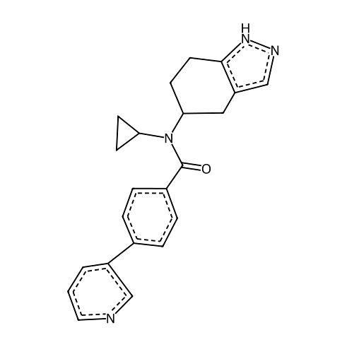 O=C(c1ccc(-c2cccnc2)cc1)N(C1CC1)C1CCc2[nH]ncc2C1